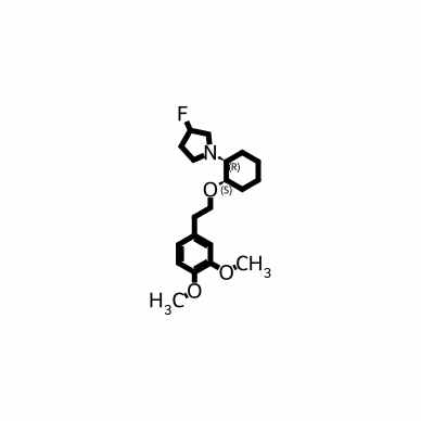 COc1ccc(CCO[C@H]2CCCC[C@H]2N2CCC(F)C2)cc1OC